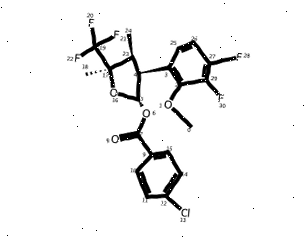 COc1c([C@H]2[C@H](OC(=O)c3ccc(Cl)cc3)O[C@@](C)(C(F)(F)F)[C@H]2C)ccc(F)c1F